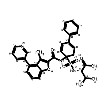 Cc1c(C(=O)NC2(S(=O)(=O)N[C@H](C(=O)O)C(C)C)C=CC(c3ccccc3)=CC2)oc2cccc(-c3cccnc3)c12